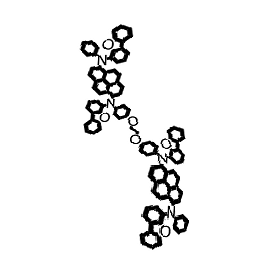 c1ccc(N(c2ccc3ccc4c(N(c5ccc(OCCOc6ccc(N(c7ccc8ccc9c(N(c%10ccccc%10)c%10cccc%11c%10oc%10ccccc%10%11)ccc%10ccc7c8c%109)c7cccc8c7oc7ccccc78)cc6)cc5)c5cccc6c5oc5ccccc56)ccc5ccc2c3c54)c2cccc3c2oc2ccccc23)cc1